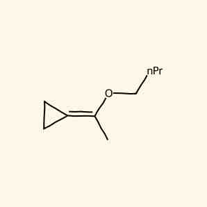 CCCCOC(C)=C1CC1